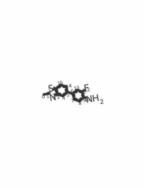 Cc1nc2cc(-c3ccc(N)c(F)c3)ccc2s1